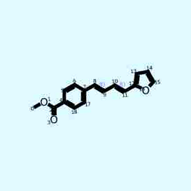 COC(=O)c1ccc(/C=C/C=C/c2ccco2)cc1